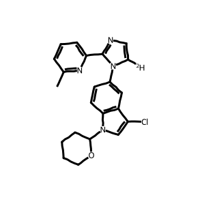 [2H]c1cnc(-c2cccc(C)n2)n1-c1ccc2c(c1)c(Cl)cn2C1CCCCO1